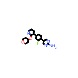 Nc1ncc(-c2ccc(-c3cccnc3OC3CCOCC3)cc2F)cn1